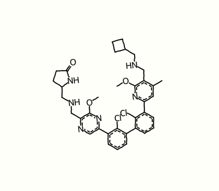 COc1nc(-c2cccc(-c3cccc(-c4cc(C)c(CNCC5CCC5)c(OC)n4)c3Cl)c2Cl)cnc1CNCC1CCC(=O)N1